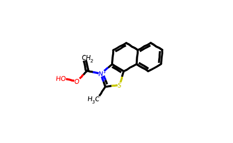 C=C(OO)[n+]1c(C)sc2c3ccccc3ccc21